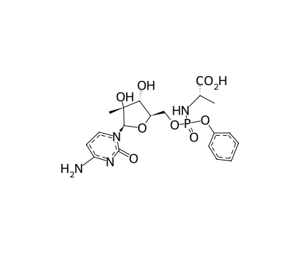 C[C@H](NP(=O)(OC[C@H]1O[C@@H](n2ccc(N)nc2=O)[C@](C)(O)[C@@H]1O)Oc1ccccc1)C(=O)O